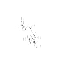 CC(C)[C@@H](N)C(=O)OC(C)(C)C(=O)OCOP(=O)(O)C(O)(CCCN)P(=O)(O)O